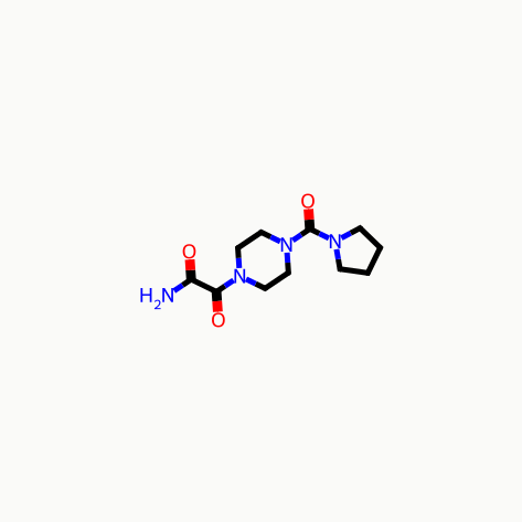 NC(=O)C(=O)N1CCN(C(=O)N2CCCC2)CC1